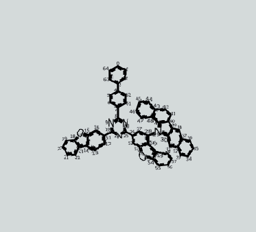 c1ccc(-c2ccc(-c3nc(-c4ccc5c(c4)oc4ccccc45)nc(-c4cc(-n5c6cc7ccccc7cc6c6ccc7ccccc7c65)c5c(c4)oc4ccccc45)n3)cc2)cc1